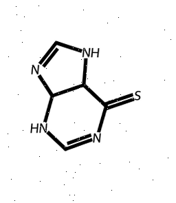 S=C1N=CNC2N=CNC12